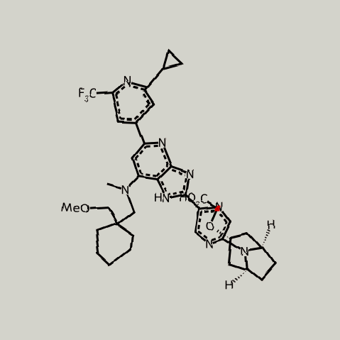 COCC1(CN(C)c2cc(-c3cc(C4CC4)nc(C(F)(F)F)c3)nc3nc(-c4cnc(N5[C@@H]6CC[C@H]5C[C@H](OCC(=O)O)C6)cn4)[nH]c23)CCCCC1